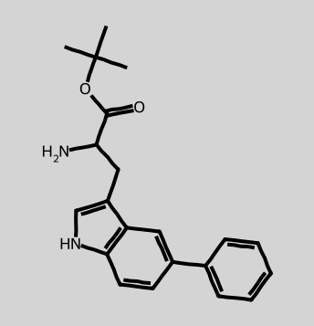 CC(C)(C)OC(=O)C(N)Cc1c[nH]c2ccc(-c3ccccc3)cc12